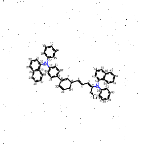 C=C/C(=C\C=C\C1C=C(c2ccc(N(c3ccccc3)c3cccc4ccccc34)cc2)C=CC1)N(c1ccccc1)c1cccc2ccccc12